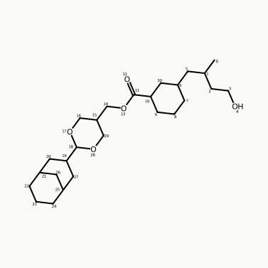 CC(CCO)CC1CCCC(C(=O)OCC2COC(C3CC4CCCC(C4)C3)OC2)C1